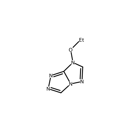 CCOn1cnn2cnnc12